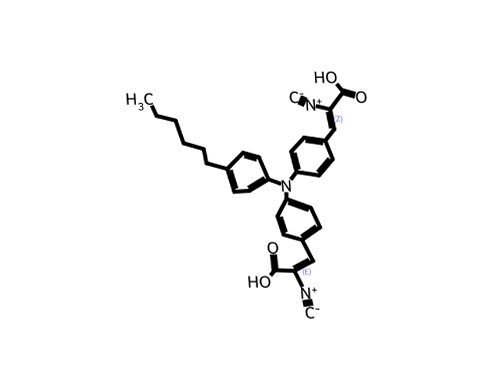 [C-]#[N+]/C(=C\c1ccc(N(c2ccc(/C=C(/[N+]#[C-])C(=O)O)cc2)c2ccc(CCCCCC)cc2)cc1)C(=O)O